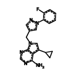 Nc1ncnc2c1c(C1CC1)cn2Cc1cnn(-c2ccccc2F)c1